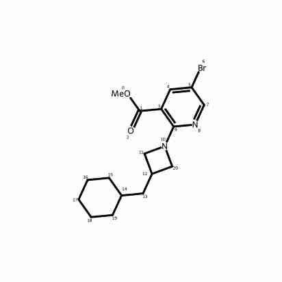 COC(=O)c1cc(Br)cnc1N1CC(CC2CCCCC2)C1